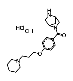 Cl.Cl.O=C(c1ccc(OCCCN2CCCCC2)cc1)N1CC2CC1CN2